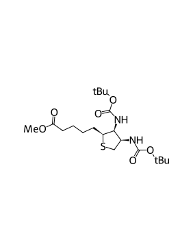 COC(=O)CCCC[C@@H]1SC[C@H](NC(=O)OC(C)(C)C)[C@@H]1NC(=O)OC(C)(C)C